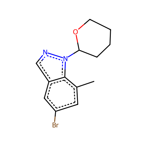 Cc1cc(Br)cc2cnn(C3CCCCO3)c12